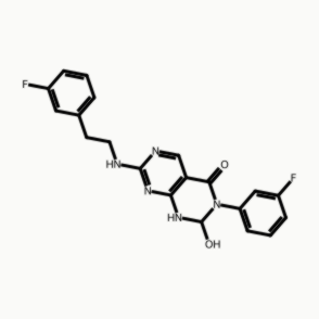 O=C1c2cnc(NCCc3cccc(F)c3)nc2NC(O)N1c1cccc(F)c1